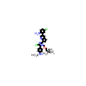 C[Si](C)(C)CCOCn1c(C2CCc3cc(-c4cc(Cl)ccc4N)cnc32)nc(Cl)c1-c1ccc(NC(=O)O)cc1